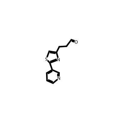 O=CCCc1csc(-c2cccnc2)n1